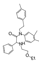 CCOCCNC(C(=O)N(CCc1ccc(C)cc1)c1ccc(C)c(C)c1)c1ccccc1